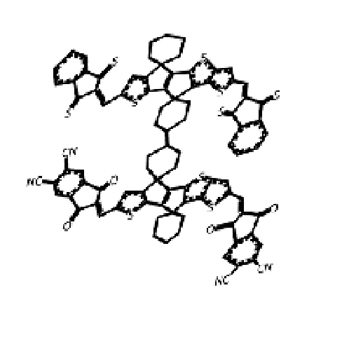 N#Cc1cc2c(cc1C#N)C(=O)C(=Cc1cc3c(s1)C1=C(c4sc5cc(C=C6C(=O)c7cc(C#N)c(C#N)cc7C6=O)sc5c4C14CCCCC4)C31CCC(C3CCC4(CC3)C3=C(c5sc6cc(C=C7C(=S)c8ccccc8C7=S)sc6c54)C4(CCCCC4)c4cc(C=C5C(=S)c6ccccc6C5=S)sc43)CC1)C2=O